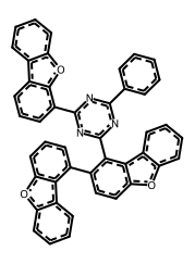 c1ccc(-c2nc(-c3cccc4c3oc3ccccc34)nc(-c3c(-c4cccc5oc6ccccc6c45)ccc4oc5ccccc5c34)n2)cc1